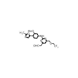 COc1cc(Nc2nc(CC=O)cc(COCC(F)(F)F)n2)ccc1-c1cnc(C)o1